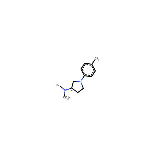 CC(C)(C)N(C(=O)O)[C@@H]1CCN(c2ccc(C(F)(F)F)cc2)C1